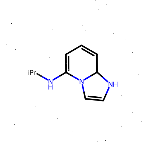 CC(C)NC1=CC=CC2NC=CN12